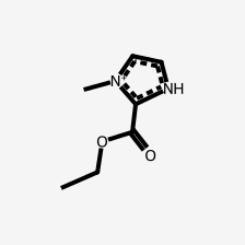 CCOC(=O)c1[nH]cc[n+]1C